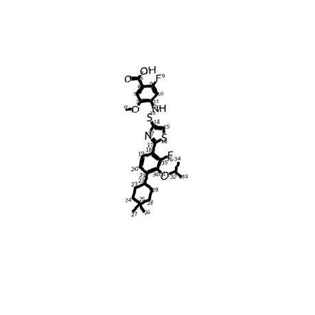 COc1cc(C(=O)O)c(F)cc1NSc1csc(-c2ccc(C3CCC(C)(C)CC3)c(OC(C)C)c2F)n1